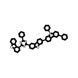 c1ccc(-c2ccc3c(c2)c2ccc(-c4ccc5c(c4)oc4ccc(-c6nc(-c7ccccc7)nc(-c7cccc8oc9ccccc9c78)n6)cc45)cc2n3-c2ccccc2)cc1